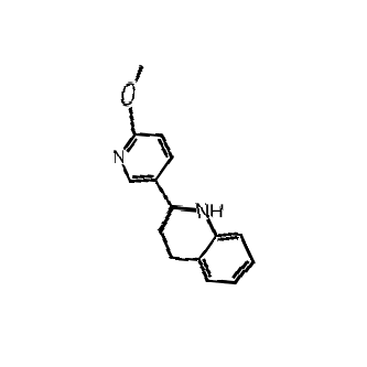 COc1ccc(C2CCc3ccccc3N2)cn1